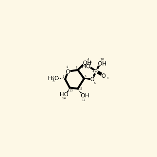 C[C@@H]1OC(O)[C@@H](OP(=O)(O)O)[C@H](O)[C@@H]1O